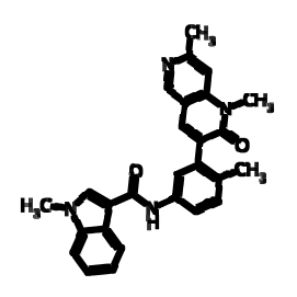 Cc1cc2c(cn1)cc(-c1cc(NC(=O)c3cn(C)c4ccccc34)ccc1C)c(=O)n2C